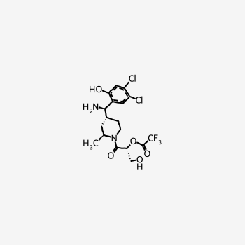 C[C@H]1C[C@H]([C@@H](N)c2cc(Cl)c(Cl)cc2O)CCN1C(=O)[C@@H](CO)OC(=O)C(F)(F)F